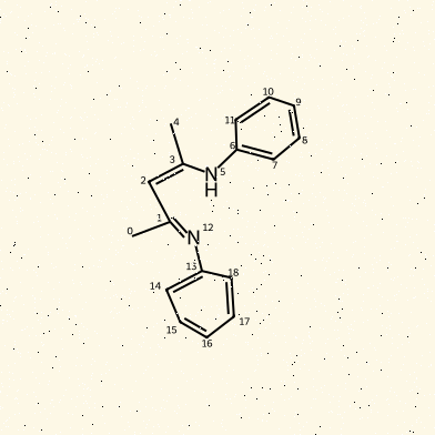 CC(/C=C(/C)Nc1ccccc1)=Nc1ccccc1